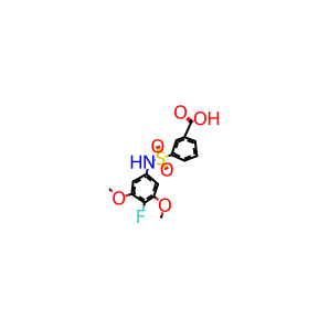 COc1cc(NS(=O)(=O)c2cccc(C(=O)O)c2)cc(OC)c1F